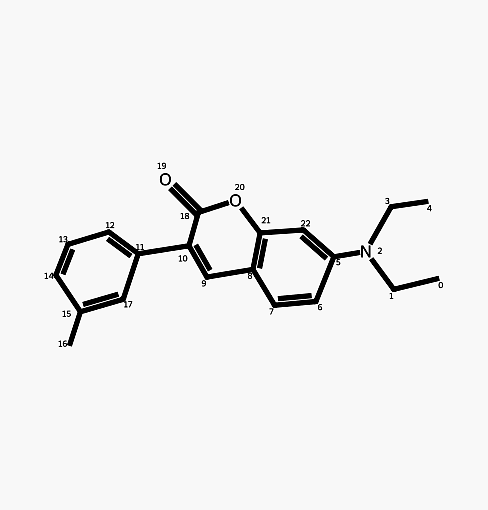 CCN(CC)c1ccc2cc(-c3cccc(C)c3)c(=O)oc2c1